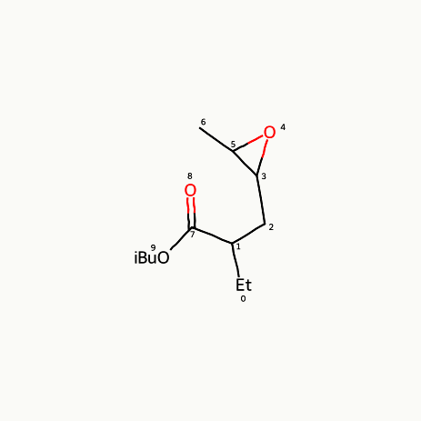 CCC(CC1OC1C)C(=O)OCC(C)C